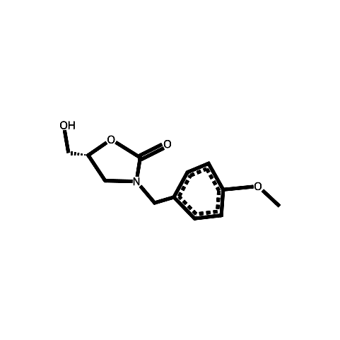 COc1ccc(CN2C[C@H](CO)OC2=O)cc1